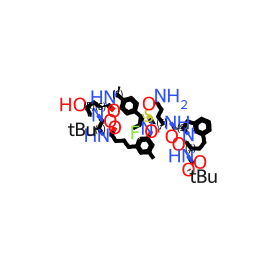 Cc1cc(CCCC(=O)N[C@H](C(=O)N2C[C@H](O)C[C@H]2C(=O)N[C@@H](C)c2ccc(-c3scnc3C)cc2)C(C)(C)C)c(F)c(OC[C@H](CCC(N)=O)NC(=O)[C@@H]2Cc3cccc4c3N2C(=O)[C@@H](NC(=O)OC(C)(C)C)CC4)c1